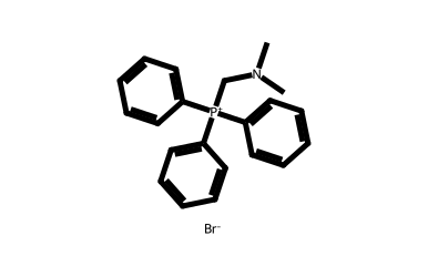 CN(C)C[P+](c1ccccc1)(c1ccccc1)c1ccccc1.[Br-]